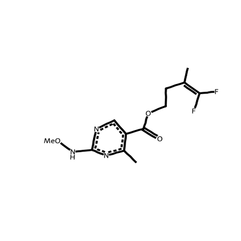 CONc1ncc(C(=O)OCCC(C)=C(F)F)c(C)n1